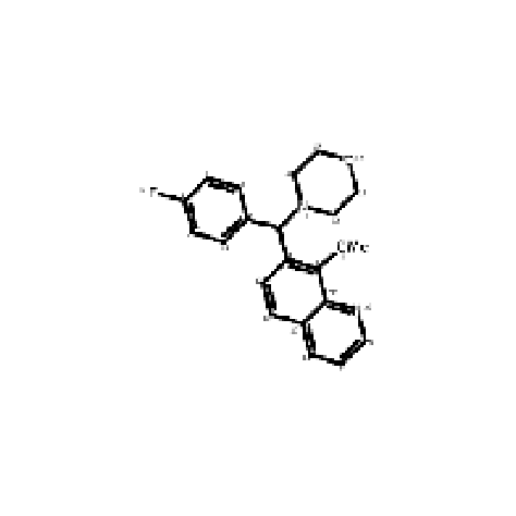 COc1c(C(c2ccc(F)cc2)N2CCOCC2)ccc2cccnc12